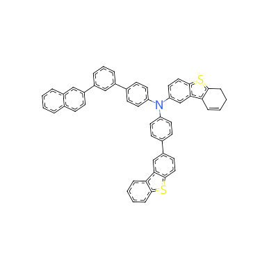 C1=Cc2c(sc3ccc(N(c4ccc(-c5cccc(-c6ccc7ccccc7c6)c5)cc4)c4ccc(-c5ccc6sc7ccccc7c6c5)cc4)cc23)CC1